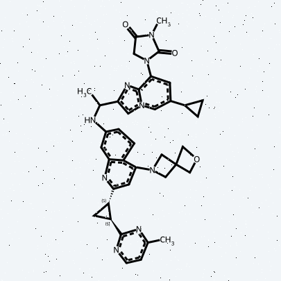 Cc1ccnc([C@H]2C[C@@H]2c2cc(N3CC4(COC4)C3)c3ccc(NC(C)c4cn5cc(C6CC6)cc(N6CC(=O)N(C)C6=O)c5n4)cc3n2)n1